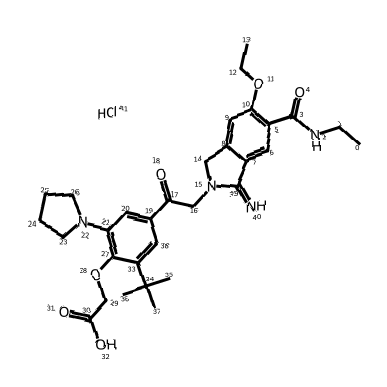 CCNC(=O)c1cc2c(cc1OCC)CN(CC(=O)c1cc(N3CCCC3)c(OCC(=O)O)c(C(C)(C)C)c1)C2=N.Cl